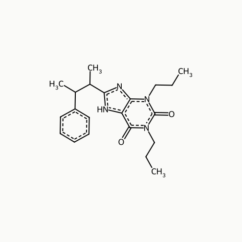 CCCn1c(=O)c2[nH]c(C(C)C(C)c3ccccc3)nc2n(CCC)c1=O